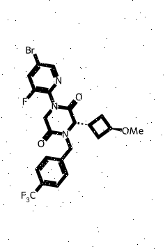 CO[C@H]1C[C@H](C2C(=O)N(c3ncc(Br)cc3F)CC(=O)N2Cc2ccc(C(F)(F)F)cc2)C1